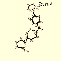 COC[C@H]1CCCN1c1ncc(C(=O)N2CCC(N3CCC[C@@H](C)C3)CC2)cn1